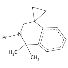 CC(C)N1CC2(CC2)c2ccccc2C1(C)C